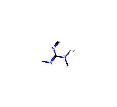 C=N/C(=N\C)N(C)CCC